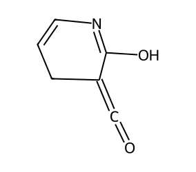 O=C=C1CC=CN=C1O